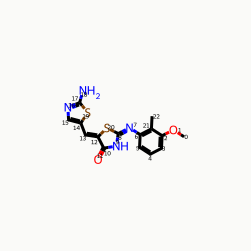 COc1cccc(N=C2NC(=O)C(=Cc3cnc(N)s3)S2)c1C